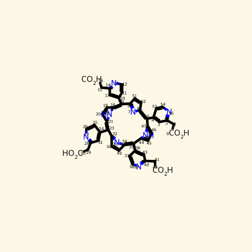 O=C(O)Cc1cc(-c2c3nc(c(-c4ccnc(CC(=O)O)c4)c4ccc([nH]4)c(-c4ccnc(CC(=O)O)c4)c4nc(c(-c5ccnc(CC(=O)O)c5)c5ccc2[nH]5)C=C4)C=C3)ccn1